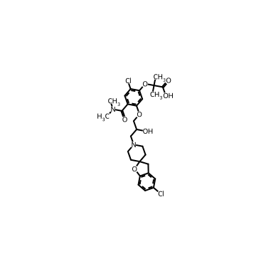 CN(C)C(=O)c1cc(Cl)c(OC(C)(C)C(=O)O)cc1OCC(O)CN1CCC2(CC1)Cc1cc(Cl)ccc1O2